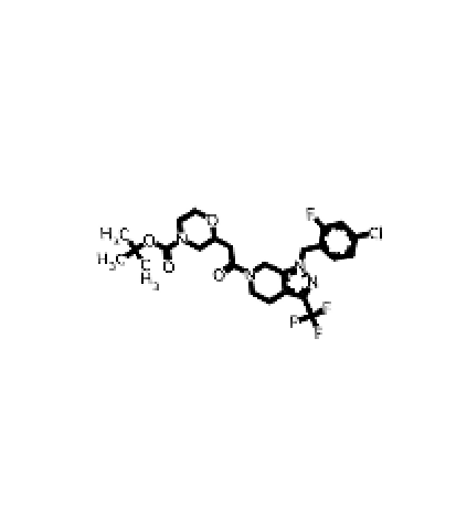 CC(C)(C)OC(=O)N1CCOC(CC(=O)N2CCc3c(C(F)(F)F)nn(Cc4ccc(Cl)cc4F)c3C2)C1